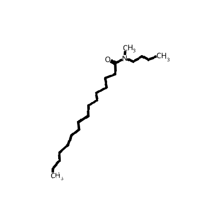 CCCCCCCCCCCCCCCC(=O)N(C)CCCC